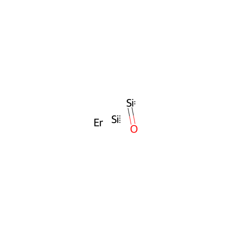 O=[Si].[Er].[Si]